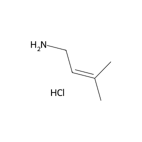 CC(C)=CCN.Cl